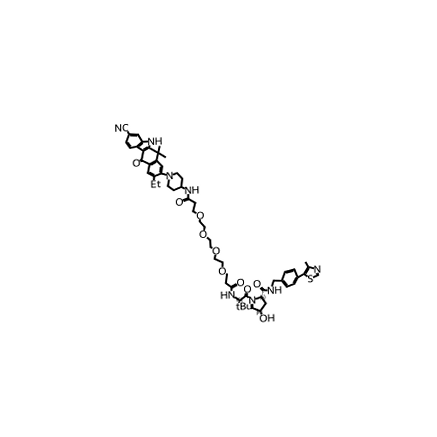 CCc1cc2c(cc1N1CCC(NC(=O)CCOCCOCCOCCOCCC(=O)N[C@H](C(=O)N3C[C@H](O)C[C@H]3C(=O)NCc3ccc(-c4scnc4C)cc3)C(C)(C)C)CC1)C(C)(C)c1[nH]c3cc(C#N)ccc3c1C2=O